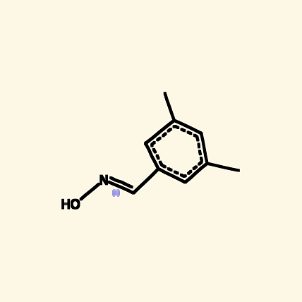 Cc1cc(C)cc(/C=N/O)c1